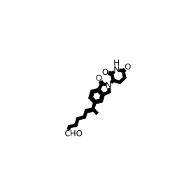 C/C(=C\CCCCC=O)c1ccc2c(c1)CN(C1CCC(=O)NC1=O)C2=O